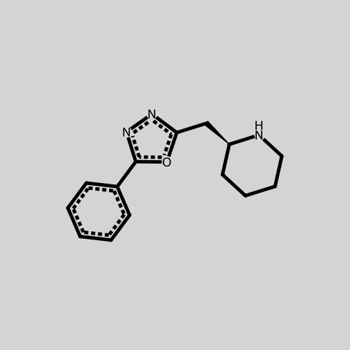 c1ccc(-c2nnc(C[C@@H]3CCCCN3)o2)cc1